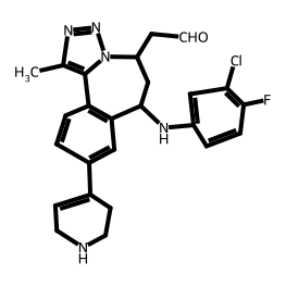 Cc1nnn2c1-c1ccc(C3=CCNCC3)cc1C(Nc1ccc(F)c(Cl)c1)CC2CC=O